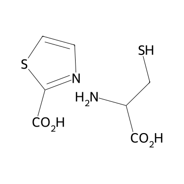 NC(CS)C(=O)O.O=C(O)c1nccs1